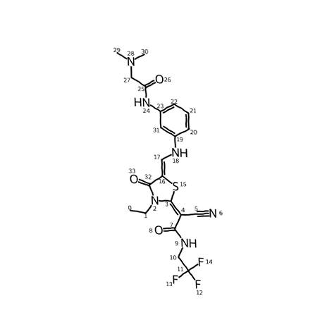 CCn1c(=C(C#N)C(=O)NCC(F)(F)F)sc(=CNc2cccc(NC(=O)CN(C)C)c2)c1=O